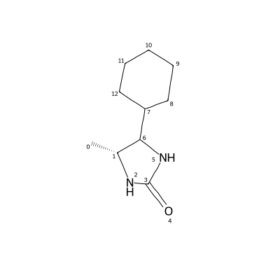 C[C@H]1NC(=O)NC1C1CCCCC1